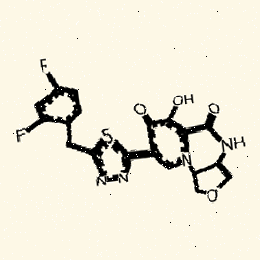 O=C1NC2COCC2n2cc(-c3nnc(Cc4ccc(F)cc4F)s3)c(=O)c(O)c21